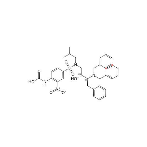 CC(C)CN(C[C@@H](O)[C@H](Cc1ccccc1)N(Cc1ccccc1)Cc1ccccc1)S(=O)(=O)c1ccc(NC(=O)O)c([N+](=O)[O-])c1